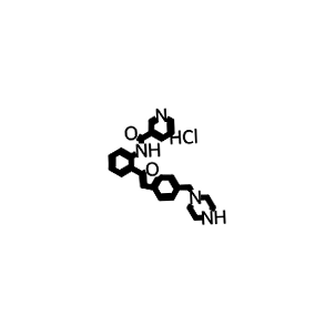 Cl.O=C(Nc1ccccc1-c1cc2ccc(CN3CCNCC3)cc2o1)c1cccnc1